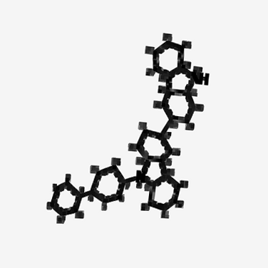 c1ccc(-c2ccc(-n3c4ccccc4c4cc(-c5ccc6[nH]c7ccccc7c6c5)ccc43)cc2)cc1